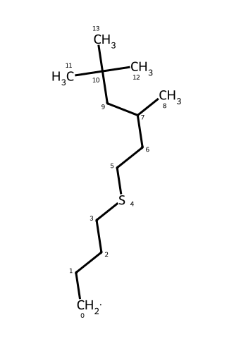 [CH2]CCCSCCC(C)CC(C)(C)C